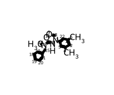 Cc1cc(C)cc(N(C=O)NC(=O)N(C)Cc2ccccc2)c1